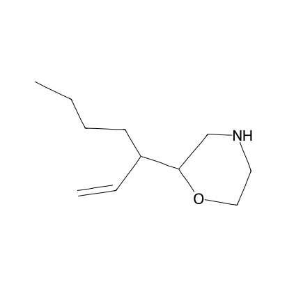 C=CC(CCCC)C1CNCCO1